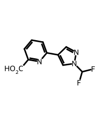 O=C(O)c1cccc(-c2cnn(C(F)F)c2)n1